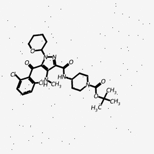 CNc1c(C(=O)NC2CCN(C(=O)OC(C)(C)C)CC2)nn(C2CCCCO2)c1C(=O)c1c(Cl)cccc1Cl